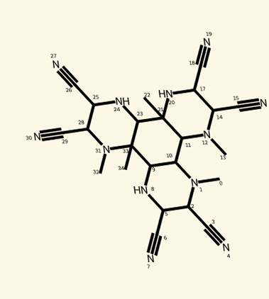 CN1C(C#N)C(C#N)NC2C1C1N(C)C(C#N)C(C#N)NC1(C)C1NC(C#N)C(C#N)N(C)C21C